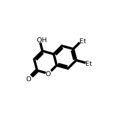 CCc1cc2oc(=O)cc(O)c2cc1CC